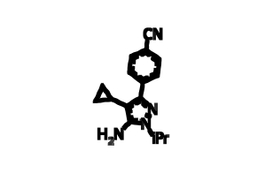 CC(C)n1nc(-c2ccc(C#N)cc2)c(C2CC2)c1N